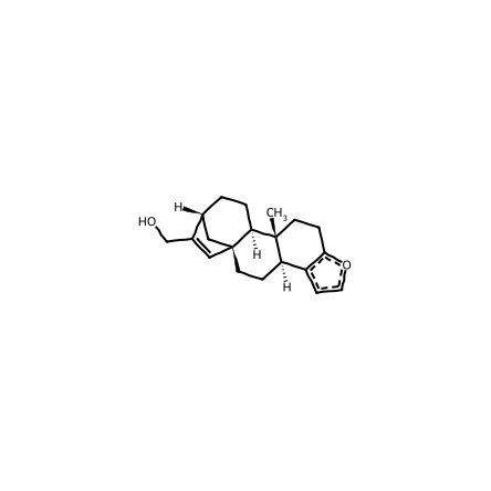 C[C@@]12CCc3occc3[C@H]1CC[C@]13C=C(CO)[C@H](CC[C@H]12)C3